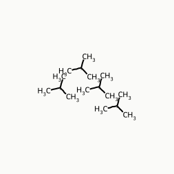 C[C](C)C.C[C](C)C.C[C](C)C.C[C](C)C